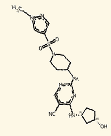 Cn1cc(S(=O)(=O)N2CCC(Nc3ncc(C#N)c(N[C@@H]4CC[C@H](O)C4)n3)CC2)cn1